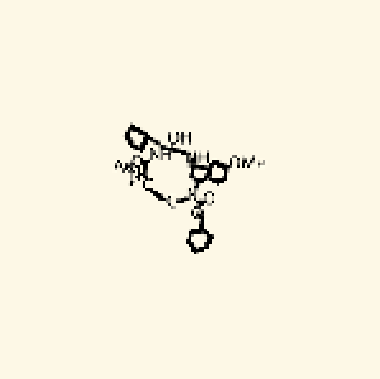 COc1ccc2c(c1)[C@@H]1CC2N(C(=O)OCc2ccccc2)CCC=CC[C@H](N(C)C(C)=O)C(=O)N[C@@H](Cc2ccccc2)[C@H](O)CN1